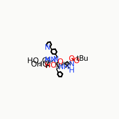 CN(C(=O)O)[C@H](CNN(Cc1ccc(-c2ccccn2)cc1)C[C@H](O)[C@H](Cc1ccccc1)NC(=O)[C@@H]1C[C@H](NC(=O)OC(C)(C)C)C1(C)C)C(C)(C)C=O